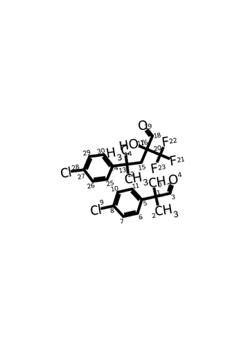 CC(C)(C=O)c1ccc(Cl)cc1.CC(C)(CC(O)(C=O)C(F)(F)F)c1ccc(Cl)cc1